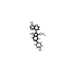 Cc1c(-c2ccnc3[nH]cnc23)[nH]c2ccc(C3CCNCC3)cc12